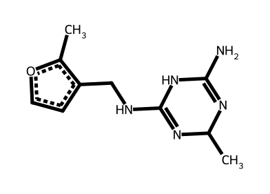 Cc1occc1CNC1=NC(C)N=C(N)N1